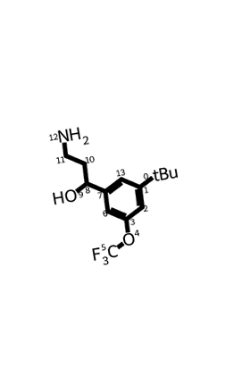 CC(C)(C)c1cc(OC(F)(F)F)cc(C(O)CCN)c1